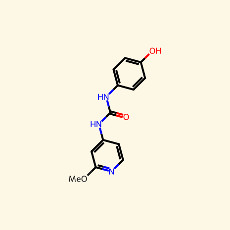 COc1cc(NC(=O)Nc2ccc(O)cc2)ccn1